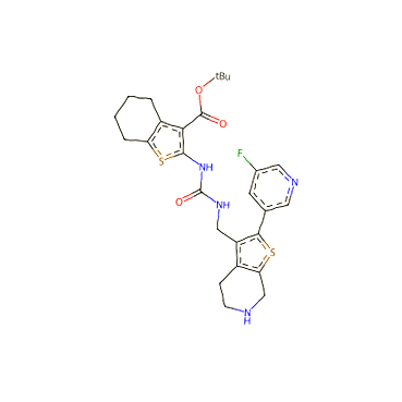 CC(C)(C)OC(=O)c1c(NC(=O)NCc2c(-c3cncc(F)c3)sc3c2CCNC3)sc2c1CCCC2